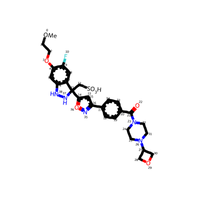 COCCOc1cc2c(cc1F)C(CS(=O)(=O)O)(c1cc(-c3ccc(C(=O)N4CCN(C5COC5)CC4)cc3)no1)NN2